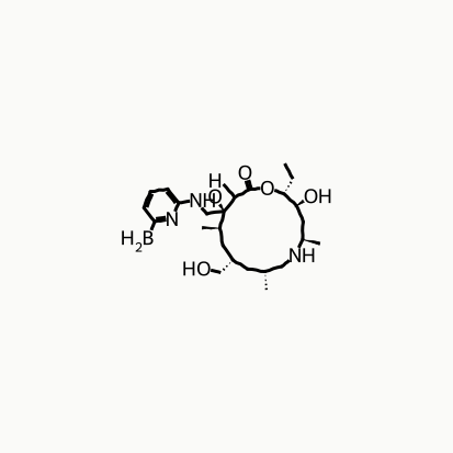 Bc1cccc(NC[C@]2(O)C(C)C(=O)O[C@H](CC)[C@@H](O)C[C@@H](C)NC[C@H](C)C[C@H](CO)C[C@H]2C)n1